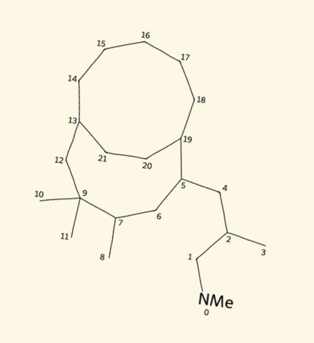 CNCC(C)CC1CC(C)C(C)(C)CC2CCCCCC1CC2